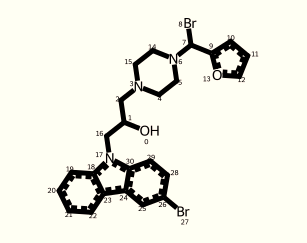 OC(CN1CCN(C(Br)c2ccco2)CC1)Cn1c2ccccc2c2cc(Br)ccc21